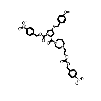 COc1ccc(CS[C@H]2C[C@@H](C(=O)N3CCCN(CCOC(=O)OCc4ccc([N+](=O)[O-])cc4)CC3)N(C(=O)OCc3ccc([N+](=O)[O-])cc3)C2)cc1